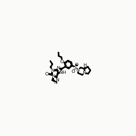 CCCOc1ccc(S(=O)(=O)N2CCN3CCC[C@H]3C2)cc1-c1nc2c([nH]1)c1nncn1c(=O)n2CCC